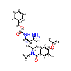 CC1=CC(C(=O)N(C2CC2)C2CCC(N)/C(=C\NC(=O)OCC3CC=CCC3)C2)CC=C1OC(C)C